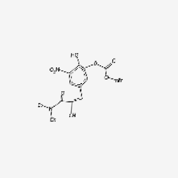 CCCOC(=O)Oc1cc(C=C(C#N)C(=O)N(CC)CC)cc([N+](=O)[O-])c1O